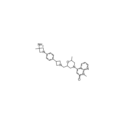 CC1CN(c2cc(=O)n(C)c3ncccc23)CC(CN2CC(c3ccc(N4CC(C)(N)C4)cc3)C2)O1